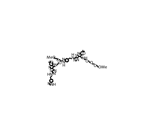 COCCOCCOCCOCCNCc1c2c(nc3sc4c(NCCc5ccc6[nH]c(C(COCCOC)OCCNCc7c8c(nc9sc%10c(NCCc%11ccc%12[nH]cnc%12c%11)ncnc%10c79)CC(C)(C)OC8)nc6c5)ncnc4c13)CC(C)(C)OC2